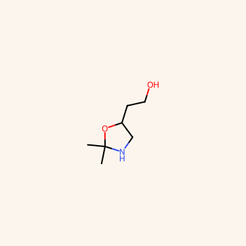 CC1(C)NCC(CCO)O1